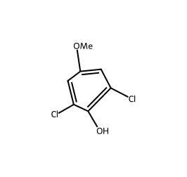 COc1cc(Cl)c(O)c(Cl)c1